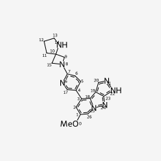 COc1cc(-c2ccc(N3CC4(CCCN4)C3)nc2)c2c3cn[nH]c3nn2c1